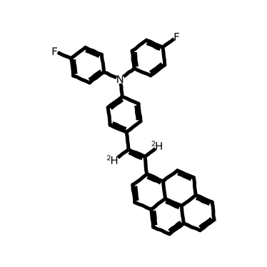 [2H]/C(=C(/[2H])c1ccc2ccc3cccc4ccc1c2c34)c1ccc(N(c2ccc(F)cc2)c2ccc(F)cc2)cc1